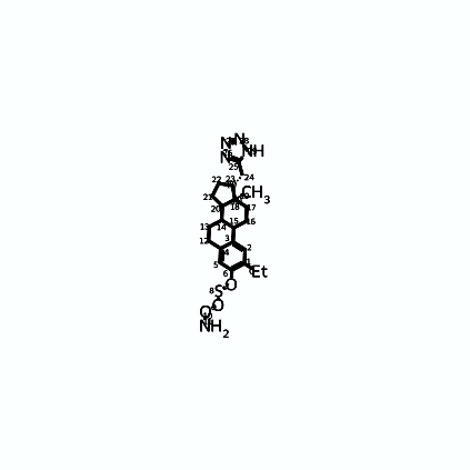 CCc1cc2c(cc1OSOON)CCC1C2CC[C@@]2(C)C1CC[C@@H]2Cc1nnn[nH]1